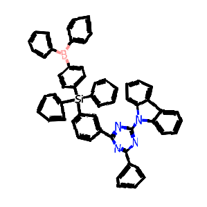 c1ccc(B(c2ccccc2)c2ccc([Si](c3ccccc3)(c3ccccc3)c3cccc(-c4nc(-c5ccccc5)nc(-n5c6ccccc6c6ccccc65)n4)c3)cc2)cc1